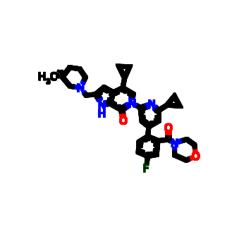 C[C@H]1CCCN(Cc2cc3c(C4CC4)cn(-c4cc(-c5ccc(F)cc5C(=O)N5CCOCC5)cc(C5CC5)n4)c(=O)c3[nH]2)C1